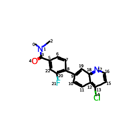 CN(C)C(=O)c1ccc(-c2ccc3c(Cl)ccnc3c2)c(F)c1